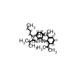 CCCCn1c(C(C)C)nc2c(Nc3c(C(C)C)cccc3C(C)C)cccc21